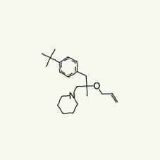 C=CCOC(C)(Cc1ccc(C(C)(C)C)cc1)CN1CCCCC1